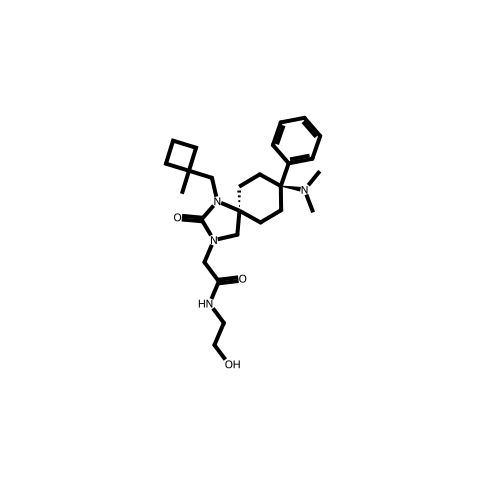 CN(C)[C@]1(c2ccccc2)CC[C@]2(CC1)CN(CC(=O)NCCO)C(=O)N2CC1(C)CCC1